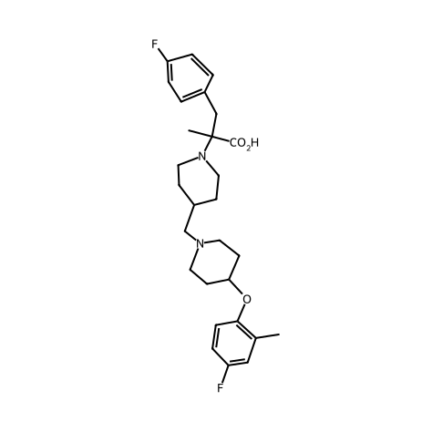 Cc1cc(F)ccc1OC1CCN(CC2CCN(C(C)(Cc3ccc(F)cc3)C(=O)O)CC2)CC1